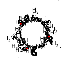 CCCC[C@H]1C(=O)N2CCC[C@@H]2C(=O)N[C@@H](COC=O)C(=O)N[C@@H](C(C)C)C(=O)N(C)[C@@H](Cc2ccc(F)cc2)C(=O)N[C@@H](CCCN)C(=O)N2CCC[C@@H]2C(=O)N[C@@H](Cc2c[nH]c3ccccc23)C(=O)N[C@@H](Cc2ccc(O)cc2)C(=O)N[C@@H](CC(C)C)C(=O)N[C@H](C(=O)NCC(N)=O)CSCC(=O)N[C@@H](Cc2ccc(F)cc2)C(=O)N(C)[C@@H](Cc2ccccc2)C(=O)N1C